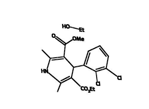 CCO.CCOC(=O)C1=C(C)NC(C)=C(C(=O)OC)C1c1cccc(Cl)c1Cl